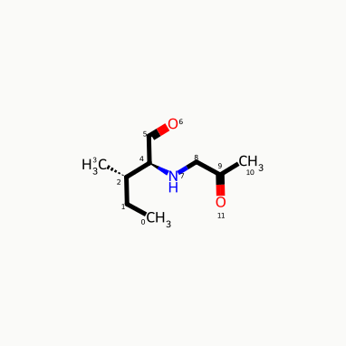 CC[C@H](C)[C@@H]([C]=O)NCC(C)=O